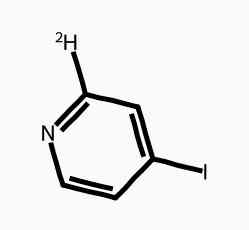 [2H]c1cc(I)ccn1